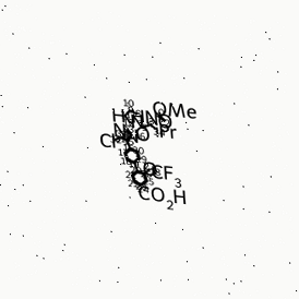 COC(=O)NC(C(=O)N1C[C@@H](C)C[C@H]1c1nc(-c2ccc(-c3ccc(C(=O)O)cc3OC(F)(F)F)cc2)c(Cl)[nH]1)C(C)C